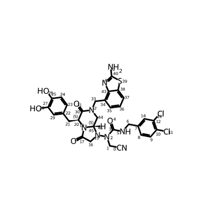 N#CCN(C(=O)NCc1ccc(Cl)c(Cl)c1)N1CC(=O)N2[C@@H](Cc3ccc(O)c(O)c3)C(=O)N(Cc3cccc4sc(N)nc34)C[C@@H]21